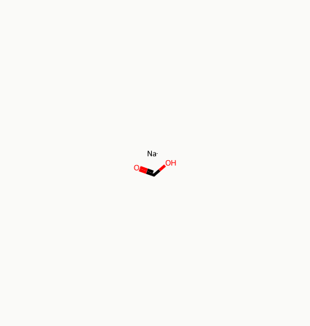 O=CO.[Na]